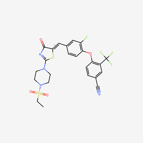 CCS(=O)(=O)N1CCN(C2=NC(=O)/C(=C/c3ccc(Oc4ccc(C#N)cc4C(F)(F)F)c(F)c3)S2)CC1